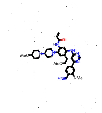 C=CC(=O)Nc1cc(Nc2cc(-c3ccc(C=N)c(NC)c3)ncn2)c(CCOC)cc1N1CCC(N2CCC(OC)CC2)CC1